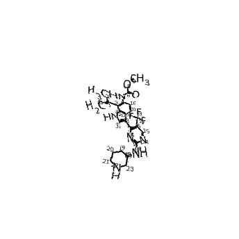 C=C(C)c1c(NC(=O)OC)ccc2c(-c3nc(N[C@H]4CCCNC4)ncc3C(F)(F)F)c[nH]c12